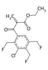 C=C(C(=O)OCC)C(=O)c1cc(CF)c(CF)c(Cl)c1CF